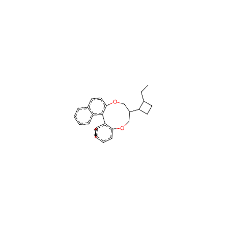 CCC1CCC1C1COc2ccc3ccccc3c2-c2c(ccc3ccccc23)OC1